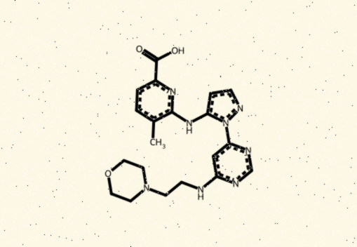 Cc1ccc(C(=O)O)nc1Nc1ccnn1-c1cc(NCCN2CCOCC2)ncn1